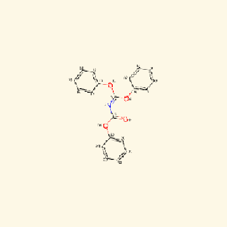 O=C(N=C(Oc1ccccc1)Oc1ccccc1)Oc1ccccc1